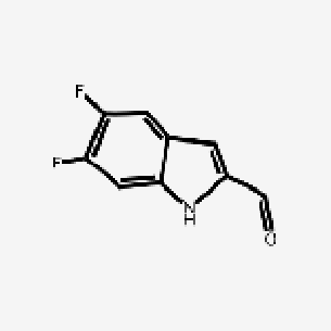 O=Cc1cc2cc(F)c(F)cc2[nH]1